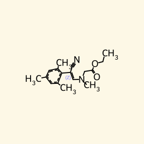 CCOC(=O)CN(C)/C=C(\C#N)c1c(C)cc(C)cc1C